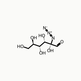 [N-]=[N+]=N[C@@](O)(C=O)[C@@H](O)[C@H](O)[C@H](O)CO